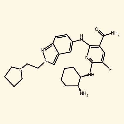 NC(=O)c1cc(F)c(N[C@@H]2CCCC[C@@H]2N)nc1Nc1ccc2nn(CCN3CCCC3)cc2c1